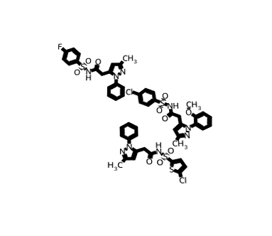 COc1ccccc1-n1nc(C)cc1CC(=O)NS(=O)(=O)c1ccc(Cl)cc1.Cc1cc(CC(=O)NS(=O)(=O)c2ccc(Cl)s2)n(-c2ccccc2)n1.Cc1cc(CC(=O)NS(=O)(=O)c2ccc(F)cc2)n(-c2ccccc2)n1